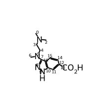 CN(C)CCN(C)c1n[nH]c2cc(C(=O)O)ccc12